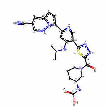 CC(C)Nc1cc(-c2ccc3cc(C#N)cnn23)ncc1-c1nnc(C(=O)N2CCC[C@H](NC(=O)O)C2)s1